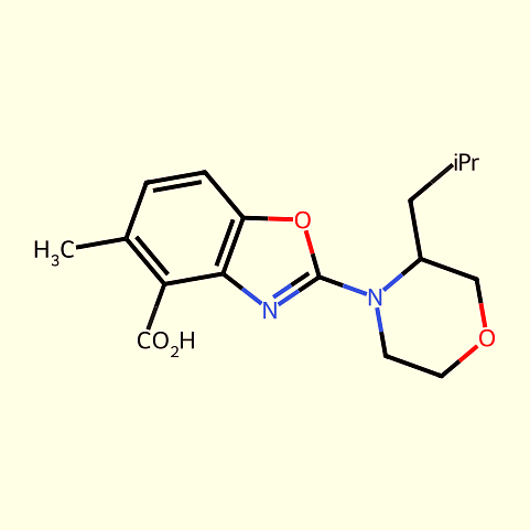 Cc1ccc2oc(N3CCOCC3CC(C)C)nc2c1C(=O)O